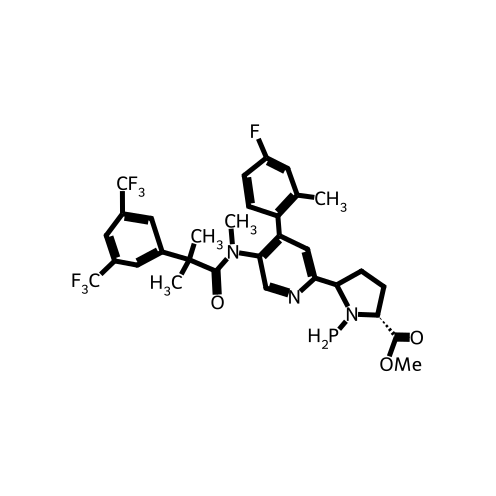 COC(=O)[C@H]1CCC(c2cc(-c3ccc(F)cc3C)c(N(C)C(=O)C(C)(C)c3cc(C(F)(F)F)cc(C(F)(F)F)c3)cn2)N1P